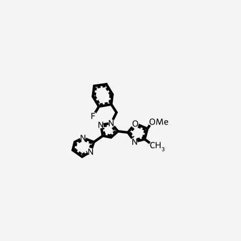 COc1oc(-c2cc(-c3ncccn3)nn2Cc2ccccc2F)nc1C